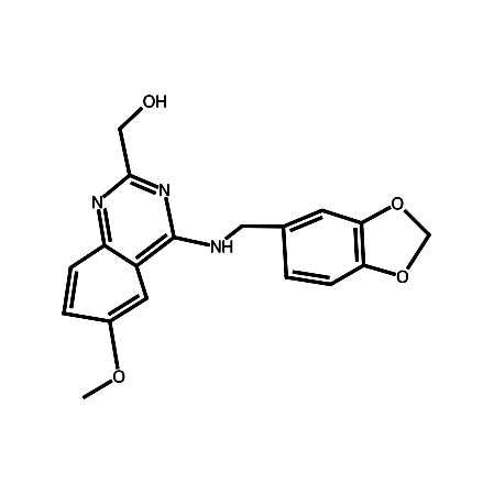 COc1ccc2nc(CO)nc(NCc3ccc4c(c3)OCO4)c2c1